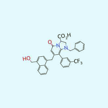 O=C(O)C1CN(Cc2ccccc2)c2c(-c3cccc(C(F)(F)F)c3)c(Cc3ccc(CO)c4ccccc34)cc(=O)n21